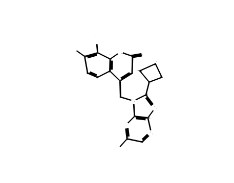 Cc1cnc2nc(C3CCC3)n(Cc3cc(=O)[nH]c4c(F)c(F)ccc34)c2n1